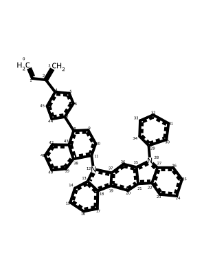 C=CC(=C)c1ccc(-c2ccc(-n3c4ccccc4c4cc5c6ccccc6n(-c6ccccc6)c5cc43)c3ccccc23)cc1